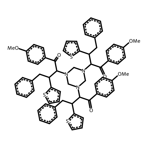 COc1ccc(C(=O)C(C(Cc2ccccc2)c2cccs2)N2CN(C(C(=O)c3ccc(OC)cc3)C(Cc3ccccc3)c3cccs3)CN(C(C(=O)c3ccc(OC)cc3)C(Cc3ccccc3)c3cccs3)C2)cc1